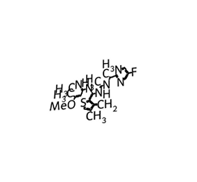 C=c1c(C)cs/c1=C(/N=C(\C)N[C@@H](C)c1ncc(F)cn1)NC(/C=C(\C)OC)=N/C